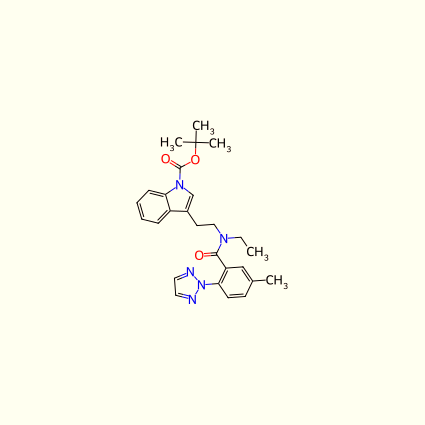 CCN(CCc1cn(C(=O)OC(C)(C)C)c2ccccc12)C(=O)c1cc(C)ccc1-n1nccn1